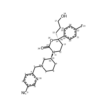 N#Cc1ccc(CN2CCC[C@H](N3CC[C@](CCCO)(c4ccc(F)cc4)OC3=O)C2)nc1